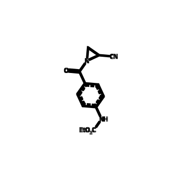 CCOC(=O)Nc1ccc(C(=O)N2CC2C#N)cc1